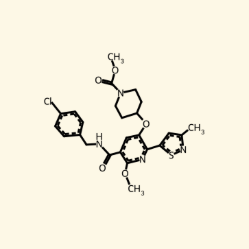 COC(=O)N1CCC(Oc2cc(C(=O)NCc3ccc(Cl)cc3)c(OC)nc2-c2cc(C)ns2)CC1